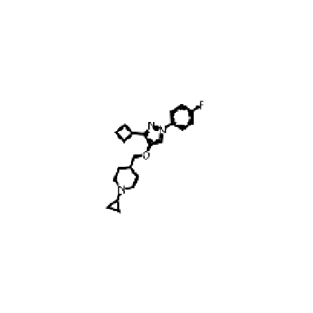 Fc1ccc(-n2cc(OCC3CCN(C4CC4)CC3)c(C3CCC3)n2)cc1